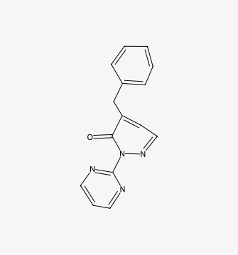 O=c1c(Cc2ccccc2)ccnn1-c1ncccn1